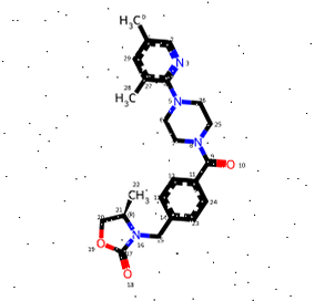 Cc1cnc(N2CCN(C(=O)c3ccc(CN4C(=O)OC[C@H]4C)cc3)CC2)c(C)c1